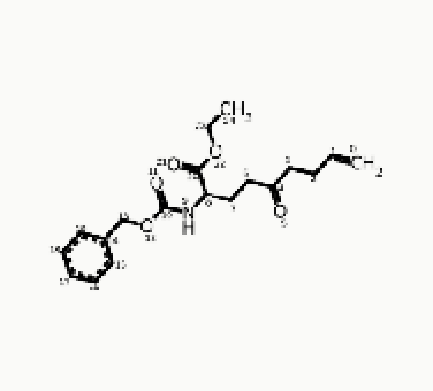 C=CCCC(=O)CC[C@@H](NC(=O)OCc1ccccc1)C(=O)OCC